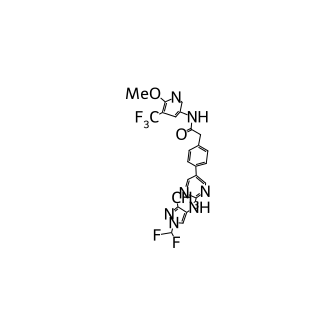 COc1ncc(NC(=O)Cc2ccc(-c3cnc(Nc4cn(C(F)F)nc4C)nc3)cc2)cc1C(F)(F)F